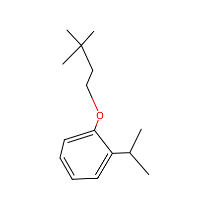 CC(C)c1ccccc1OCCC(C)(C)C